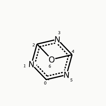 [c]1nc2nc(n1)O2